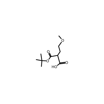 COCCC(C(=O)O)C(=O)OC(C)(C)C